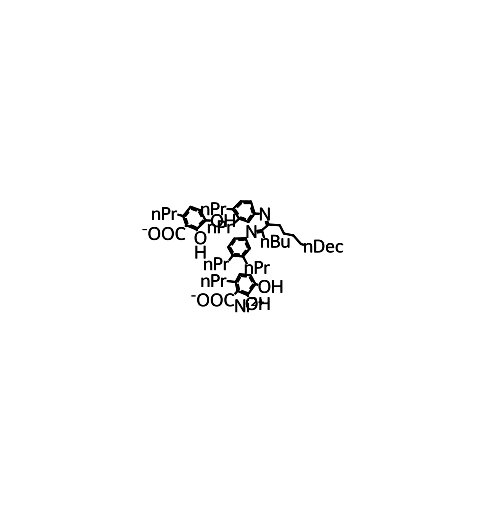 CCCCCCCCCCCCCCC(=Nc1ccc(CCC)c(CCC)c1)C(CCCC)=Nc1ccc(CCC)c(CCC)c1.CCCc1ccc(O)c(O)c1C(=O)[O-].CCCc1ccc(O)c(O)c1C(=O)[O-].[Ni+2]